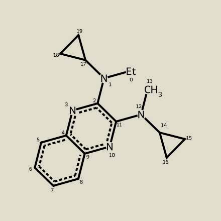 CCN(c1nc2ccccc2nc1N(C)C1CC1)C1CC1